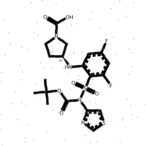 CC(C)(C)OC(=O)N(c1cscn1)S(=O)(=O)c1c(F)cc(F)cc1N[C@H]1CCN(C(=O)O)C1